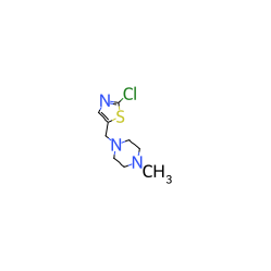 CN1CCN(Cc2cnc(Cl)s2)CC1